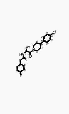 CC(C)C(NC(=O)Cc1ccc(F)cc1)C(=O)N1CCC(c2ccc(Cl)cc2)CC1